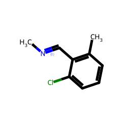 C/N=C/c1c(C)cccc1Cl